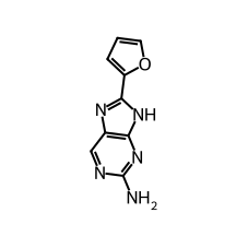 Nc1ncc2nc(-c3ccco3)[nH]c2n1